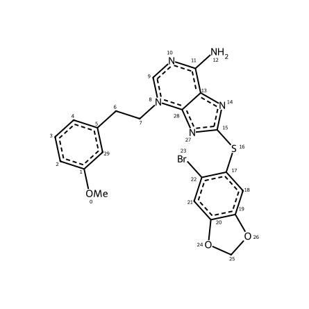 COc1cccc(CCn2cnc(N)c3nc(Sc4cc5c(cc4Br)OCO5)nc2-3)c1